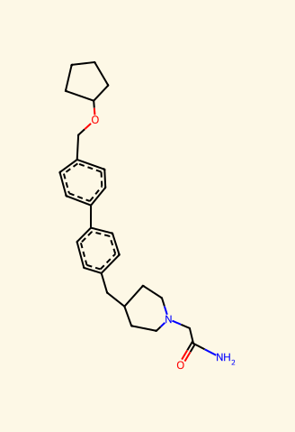 NC(=O)CN1CCC(Cc2ccc(-c3ccc(COC4CCCC4)cc3)cc2)CC1